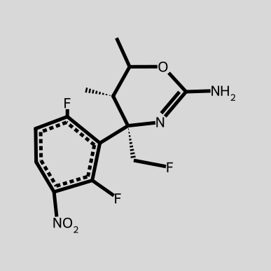 CC1OC(N)=N[C@@](CF)(c2c(F)ccc([N+](=O)[O-])c2F)[C@@H]1C